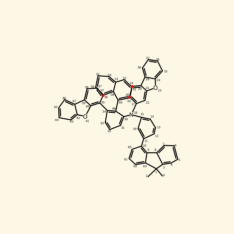 CC1(C)c2ccccc2-c2c(-c3cccc(N(c4ccc5c(c4)oc4ccccc45)c4cccc(-c5cccc6c5oc5ccccc56)c4-c4cccc5ccccc45)c3)cccc21